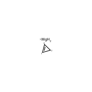 C1=CC1.[MgH2]